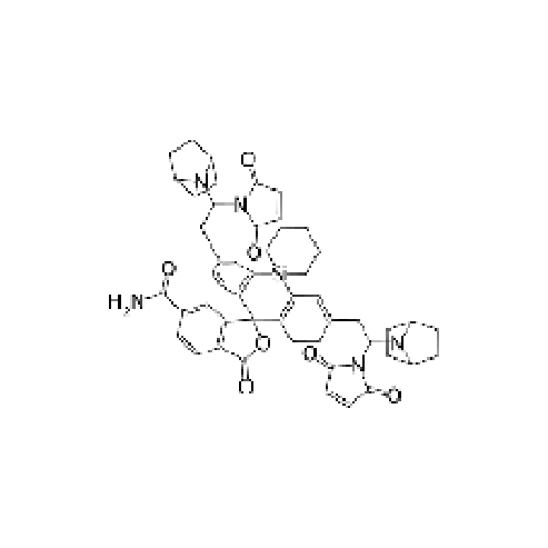 NC(=O)c1ccc2c(c1)C1(OC2=O)c2ccc(CC(N3C(=O)C=CC3=O)N3C4CCC3CC4)cc2[Si]2(CCCCC2)c2cc(CC(N3C(=O)C=CC3=O)N3C4CCC3CC4)ccc21